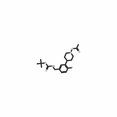 CC(=O)ON1CCC(c2cc(CNC(=O)OC(C)(C)C)ccc2F)CC1